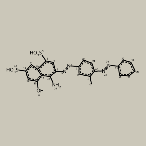 Cc1cc(/N=N/c2cc(S(=O)(=O)O)c3cc(S(=O)(=O)O)cc(O)c3c2N)ccc1/N=N/c1ccccc1